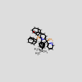 C[Si](C)(C)[C]12[CH]3[C]4(CP(C5C6CC7CC(C6)CC5C7)C5C6CC7CC(C6)CC5C7)[C]5(C(P)(c6ccccn6)c6ccccn6)[CH]1[Fe]34521678[CH]2[CH]1[CH]6[CH]7[CH]28